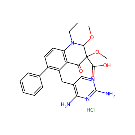 CCN1c2ccc(-c3ccccc3)c(Cc3cnc(N)nc3N)c2C(=O)C(OC)(C(=O)O)C1OC.Cl